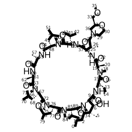 CCCC[C@@H](C)[C@@H](O)[C@H]1C(=O)N[C@@H](CC)C(=O)N(C)[C@H](C)C(=O)N[C@@H]([C@@H](C)CN2CCO[C@H](COC)C2)C(=O)N[C@@H](C(C)C)C(=O)N(C)[C@@H](CC(C)C)C(=O)N[C@@H](C)C(=O)N[C@H](C)C(=O)N(C)[C@@H](CC(C)C)C(=O)N(C)[C@@H](CC(C)C)C(=O)N(C)[C@@H](C(C)C)C(=O)N1C